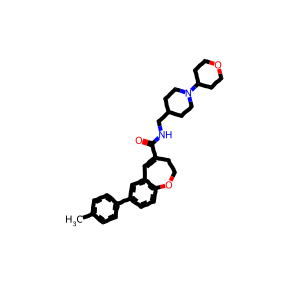 Cc1ccc(-c2ccc3c(c2)C=C(C(=O)NCC2CCN(C4CCOCC4)CC2)CCO3)cc1